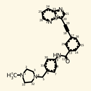 CN1CCN(Cc2ccc(NC(=O)c3cccc(C#Cc4cnc5cccnn45)c3)cc2)CC1